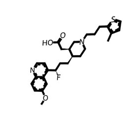 COc1ccc2nccc([C@@H](F)CC[C@@H]3CCN(CCCc4sccc4C)C[C@@H]3CC(=O)O)c2c1